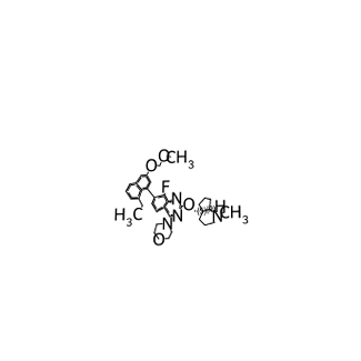 CCc1cccc2cc(OCOC)cc(-c3ccc4c(N5CCOCC5)nc(OC[C@]56CCC[C@H]5N(C)CCC6)nc4c3F)c12